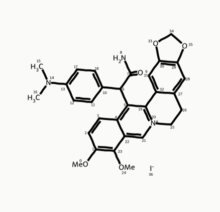 COc1ccc2c(C(C(N)=O)c3ccc(N(C)C)cc3)c3[n+](cc2c1OC)CCc1cc2c(cc1-3)OCO2.[I-]